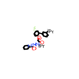 CC(C)c1cccc(-c2cc(F)ccc2OCC(=O)N(NC(=O)c2ccccc2)C(C)C)c1